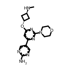 CN[C@H]1C[C@H](Oc2cc(-c3cnc(N)nc3)nc(N3CCOCC3)n2)C1